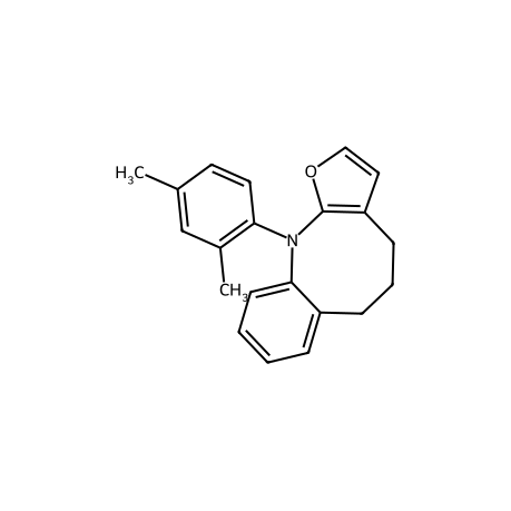 Cc1ccc(N2c3ccccc3CCCc3ccoc32)c(C)c1